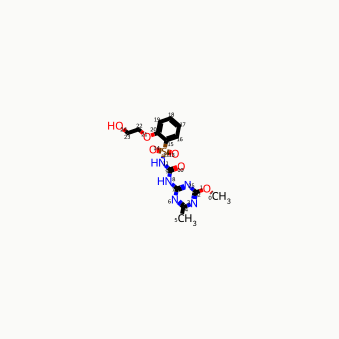 COc1nc(C)nc(NC(=O)NS(=O)(=O)c2ccccc2OCCO)n1